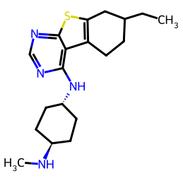 CCC1CCc2c(sc3ncnc(N[C@H]4CC[C@H](NC)CC4)c23)C1